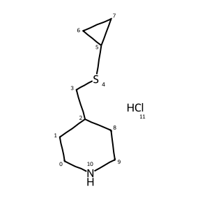 C1CC(CSC2CC2)CCN1.Cl